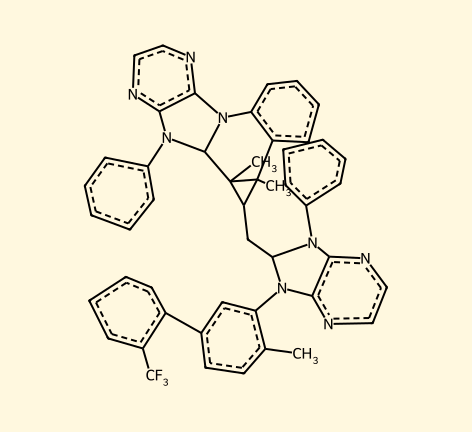 Cc1ccc(-c2ccccc2C(F)(F)F)cc1N1c2nccnc2N(c2ccccc2)C1CC1C2(C)c3ccccc3N3c4nccnc4N(c4ccccc4)C3C12C